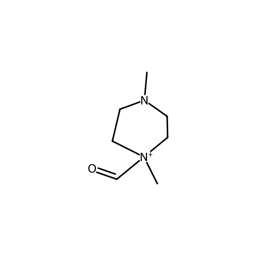 CN1CC[N+](C)(C=O)CC1